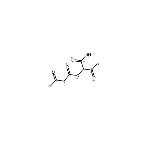 CC(=O)CC(=O)OC(C(C)=O)C([NH])=O